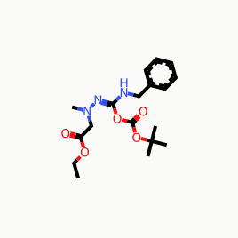 CCOC(=O)CN(C)N=C(NCc1ccccc1)OC(=O)OC(C)(C)C